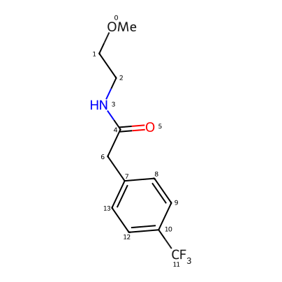 COCCNC(=O)Cc1ccc(C(F)(F)F)cc1